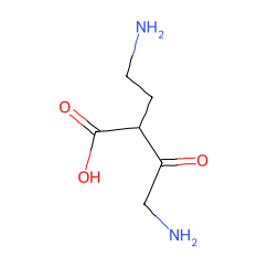 NCCC(C(=O)O)C(=O)CN